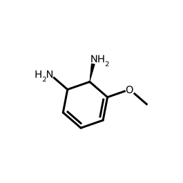 COC1=CC=CC(N)[C@H]1N